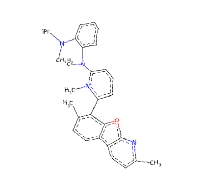 Cc1ccc2c(n1)oc1c(-c3cccc(N(C)c4ccccc4N(C)C(C)C)[n+]3C)c(C)ccc12